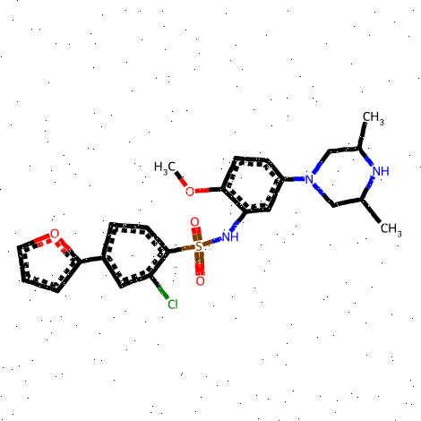 COc1ccc(N2CC(C)NC(C)C2)cc1NS(=O)(=O)c1ccc(-c2ccco2)cc1Cl